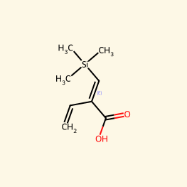 C=C/C(=C\[Si](C)(C)C)C(=O)O